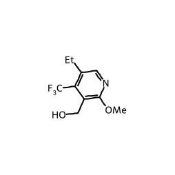 CCc1cnc(OC)c(CO)c1C(F)(F)F